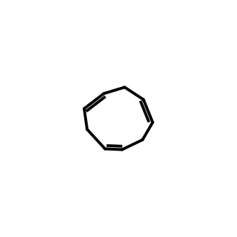 C1=C\C/C=C\C/C=C\C/1